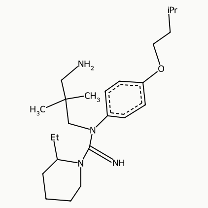 CCC1CCCCN1C(=N)N(CC(C)(C)CN)c1ccc(OCCC(C)C)cc1